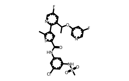 Cc1sc(C(=O)Nc2cc(Cl)cc(NS(C)(=O)=O)c2)cc1-c1ncc(F)cc1C(C)Oc1cncc(F)c1